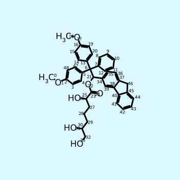 COc1ccc(C(c2ccccc2)(c2ccc(OC)cc2)C(OC(=O)C(O)CCCC(O)CO)c2ccc3c(c2)-c2ccccc2C3)cc1